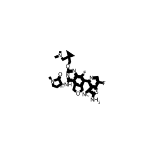 CN(C)CC1(COc2nc(N[C@@H]3CCN(C)C3=O)c3c4c(c(-c5ncc(F)c6sc(N)c(C#N)c56)c(F)c3n2)COC4)CC1